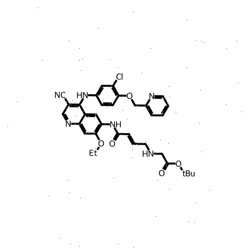 CCOc1cc2ncc(C#N)c(Nc3ccc(OCc4ccccn4)c(Cl)c3)c2cc1NC(=O)/C=C/CNCC(=O)OC(C)(C)C